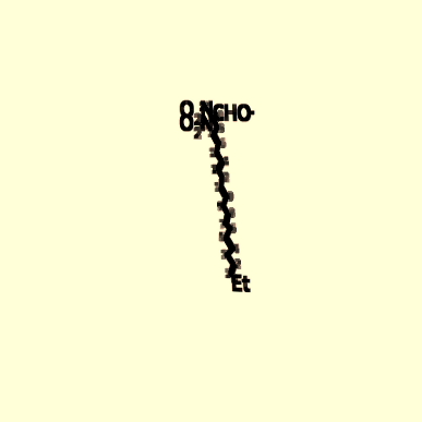 CCC=CCC=CCC=CCC=CCC=CCC=CCC([C]=O)([N+](=O)[O-])[N+](=O)[O-]